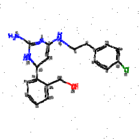 NC1=NC(NCCc2ccc(Cl)cc2)=CC(c2ccccc2CO)N1